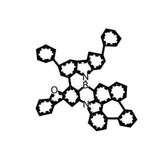 c1ccc(-c2ccc3c(c2)c2cc(-c4ccccc4)cc4c2n3B2c3c(cc5c(oc6ccccc65)c3-4)-n3c4cccc5c4c4c6c(cccc6cc2c43)-c2ccccc2-5)cc1